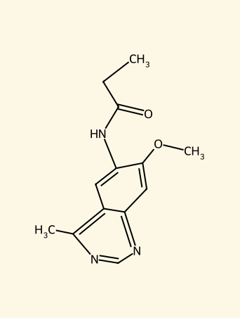 CCC(=O)Nc1cc2c(C)ncnc2cc1OC